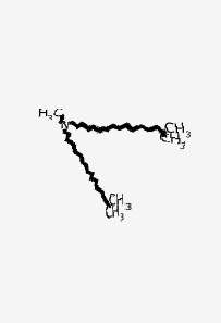 CCCN(CCCCCCCCCCCCCCCC(C)C)CCCCCCCCCCCCCCCC(C)C